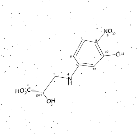 O=C(O)[C@@H](O)CNc1ccc([N+](=O)[O-])c(Cl)c1